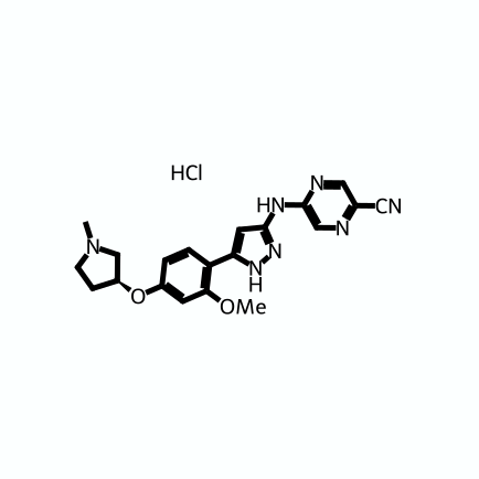 COc1cc(O[C@H]2CCN(C)C2)ccc1-c1cc(Nc2cnc(C#N)cn2)n[nH]1.Cl